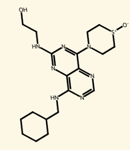 [O-][S+]1CCN(c2nc(NCCO)nc3c(NCC4CCCCC4)ncnc23)CC1